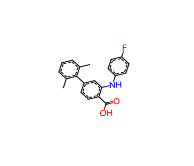 Cc1cccc(C)c1-c1ccc(C(=O)O)c(Nc2ccc(F)cc2)c1